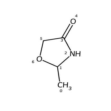 CC1NC(=O)CO1